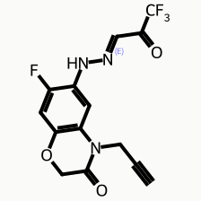 C#CCN1C(=O)COc2cc(F)c(N/N=C/C(=O)C(F)(F)F)cc21